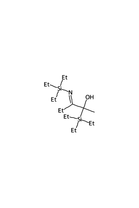 CCC(=N[Si](CC)(CC)CC)C(C)(O)[Si](CC)(CC)CC